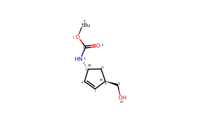 CC(C)(C)OC(=O)N[C@H]1C=C[C@H](CO)C1